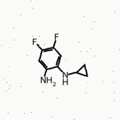 Nc1cc(F)c(F)cc1NC1CC1